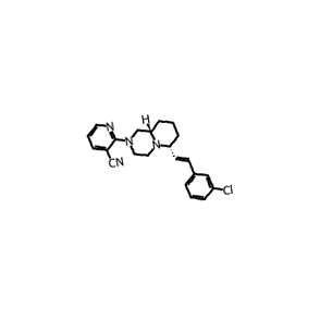 N#Cc1cccnc1N1CCN2[C@@H](CCC[C@@H]2/C=C/c2cccc(Cl)c2)C1